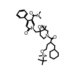 CN(C)C(=O)c1cn(CC2(O)CCN(C(=O)C(CCO[Si](C)(C)C(C)(C)C)CC3CCCCC3)CC2(C)C)c(=O)cc1-c1ccccc1